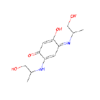 CC(CO)/N=C1/C=C(NC(C)CO)C(=O)C=C1O